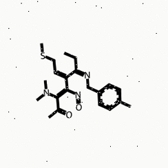 CCC(=N/Cc1ccc(C)cc1)/C(=C\CSC)C(/N=O)=C(/C(C)=O)N(C)C